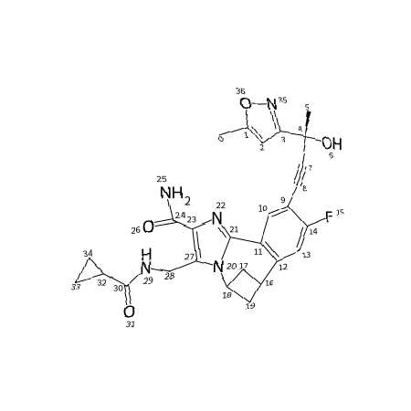 Cc1cc([C@](C)(O)C#Cc2cc3c(cc2F)C2CC(C2)n2c-3nc(C(N)=O)c2CNC(=O)C2CC2)no1